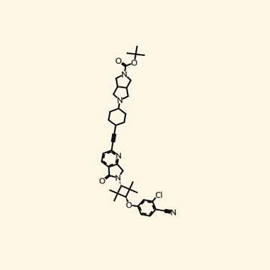 CC(C)(C)OC(=O)N1CC2CN(C3CCC(C#Cc4ccc5c(n4)CN([C@H]4C(C)(C)[C@H](Oc6ccc(C#N)c(Cl)c6)C4(C)C)C5=O)CC3)CC2C1